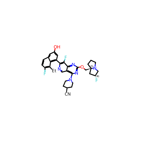 CCc1c(F)ccc2cc(O)cc(-c3ncc4c(N5CCC(C#N)CC5)nc(OC[C@@]56CCCN5C[C@H](F)C6)nc4c3F)c12